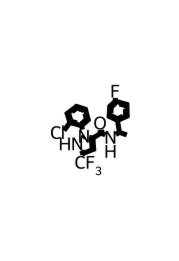 CC(NC(=O)C1=CC(C(F)(F)F)NN1c1ccccc1Cl)c1ccc(F)cc1